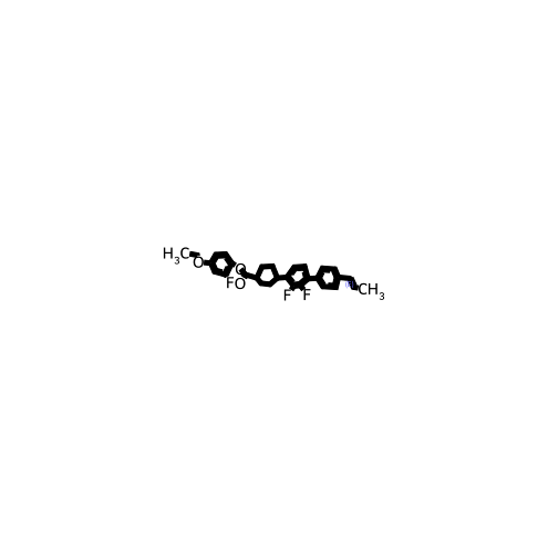 C/C=C/c1ccc(-c2ccc(C3CCC(C(=O)Oc4ccc(OCC)cc4F)CC3)c(F)c2F)cc1